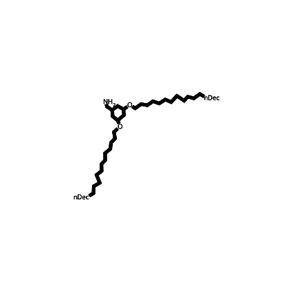 CCCCCCCCCCCCCCCCCCCCCCOC1CC(CN)CC(OCCCCCCCCCCCCCCCCCCCCCC)C1